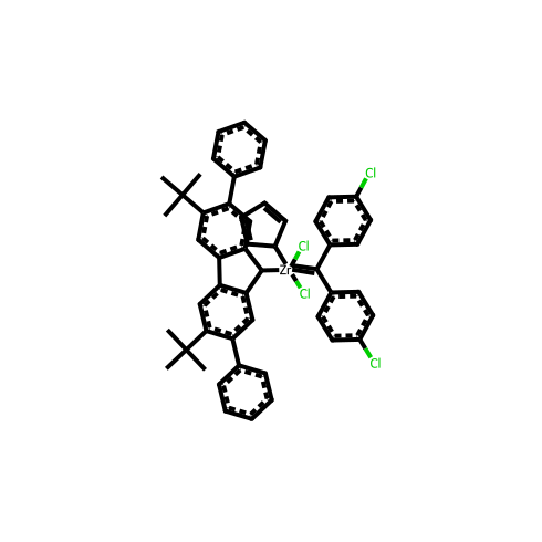 CC(C)(C)c1cc2c(cc1-c1ccccc1)[CH]([Zr]([Cl])([Cl])(=[C](c1ccc(Cl)cc1)c1ccc(Cl)cc1)[CH]1C=CC=C1)c1cc(-c3ccccc3)c(C(C)(C)C)cc1-2